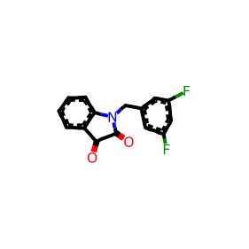 O=C1C(=O)N(Cc2cc(F)cc(F)c2)c2ccccc21